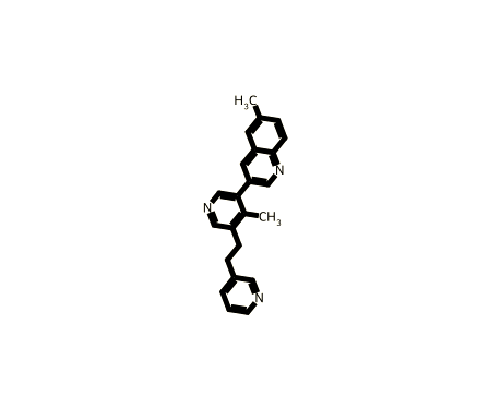 Cc1ccc2ncc(-c3cncc(CCc4cccnc4)c3C)cc2c1